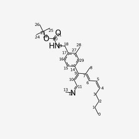 CCCC\C=C/C=C(C)/C(=C\C=N/C)c1ccc(CNC(=O)OC(C)(C)C)c(C)c1